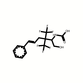 O=C(O)NC(CO)C(C/C=C/c1ccccc1)(C(F)(F)F)C(F)(F)F